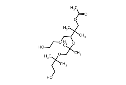 CC(=O)OCC(C)(C)C(COCCO)OC(C)(C)COC(C)(C)CCO